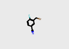 N#Cc1ccc(F)c(CBr)c1